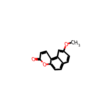 COc1ccc2ccc3oc(=O)ccc3c2c1